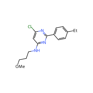 CCc1ccc(-c2nc(Cl)cc(NCCCOC)n2)cc1